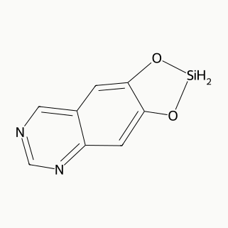 c1ncc2cc3c(cc2n1)O[SiH2]O3